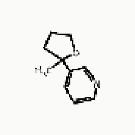 CC1(c2cccnc2)CCCO1